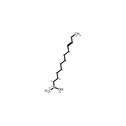 CC/C=C/CCCCCCCCN(C)O